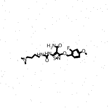 COc1ccc(COc2nsc(NC(=O)NCCCCN(C)C)c2C(N)=O)c(F)c1